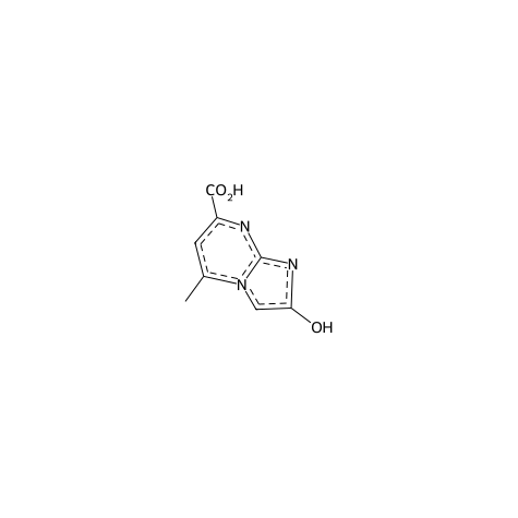 Cc1cc(C(=O)O)nc2nc(O)cn12